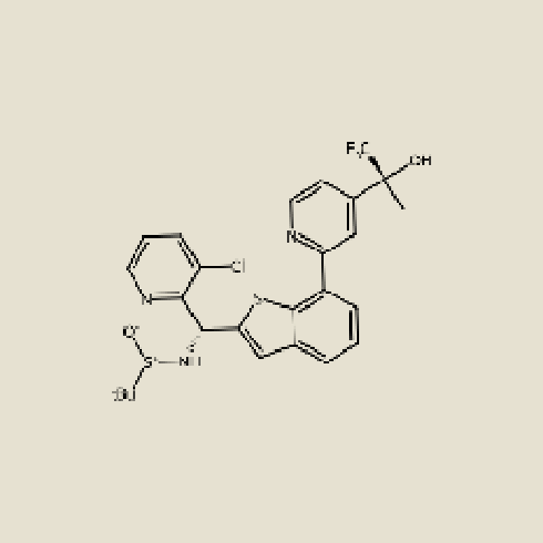 CC(C)(C)[S+]([O-])N[C@@H](c1cc2cccc(-c3cc([C@@](C)(O)C(F)(F)F)ccn3)c2s1)c1ncccc1Cl